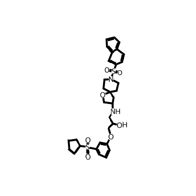 O=S(=O)(c1cccc(OCC(O)CNC2COC3(CCN(S(=O)(=O)c4ccc5ccccc5c4)CC3)C2)c1)C1CCCC1